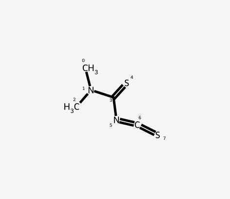 CN(C)C(=S)N=C=S